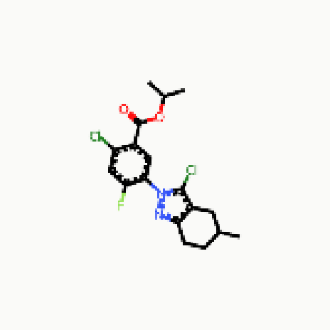 CC1CCc2nn(-c3cc(C(=O)OC(C)C)c(Cl)cc3F)c(Cl)c2C1